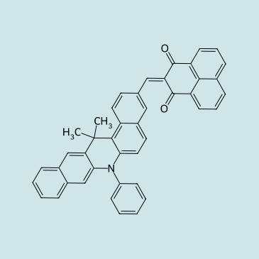 CC1(C)c2cc3ccccc3cc2N(c2ccccc2)c2ccc3cc(C=c4c(=O)c5cccc6cccc(c4=O)c65)ccc3c21